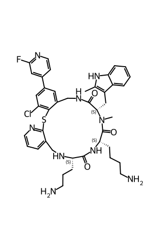 Cc1[nH]c2ccccc2c1C[C@H]1C(=O)NCc2cc(-c3ccnc(F)c3)cc(Cl)c2Sc2ncccc2CN[C@@H](CCCN)C(=O)N[C@@H](CCCCN)C(=O)N1C